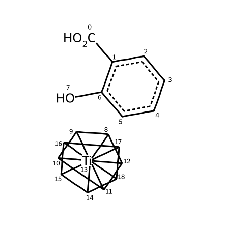 O=C(O)c1ccccc1O.[CH]12[CH]3[CH]4[CH]5[CH]1[Ti]23451678[CH]2[CH]1[CH]6[CH]7[CH]28